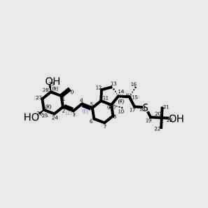 C=C1/C(=C\C=C2/CCC[C@@]3(C)C2CC[C@@H]3[C@H](C)CSCC(C)(C)O)C[C@@H](O)C[C@H]1O